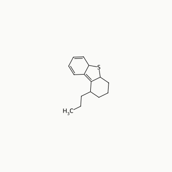 CCCC1CCCC2SC3C=CC=CC3=C12